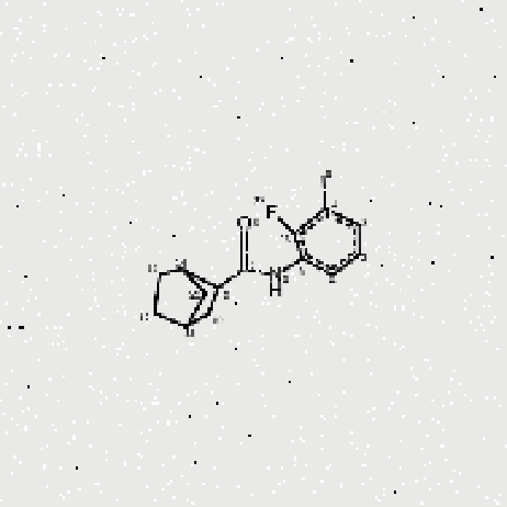 Cc1cccc(NC(=O)C2CC3CCC2C3)c1F